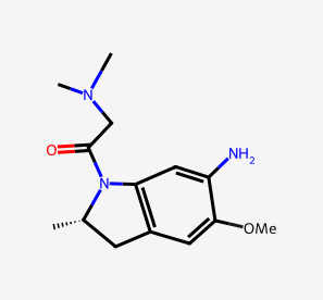 COc1cc2c(cc1N)N(C(=O)CN(C)C)[C@@H](C)C2